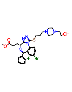 COC(=O)CC[C@@H]1N=C(c2ccccc2F)c2cc(Br)ccc2-n2c(SCCCN3CCN(CCO)CC3)nnc21